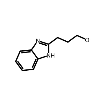 [O]CCCc1nc2ccccc2[nH]1